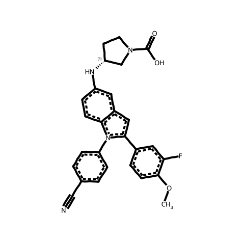 COc1ccc(-c2cc3cc(N[C@@H]4CCN(C(=O)O)C4)ccc3n2-c2ccc(C#N)cc2)cc1F